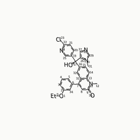 CCOc1cccc(-c2cc(=O)n(C)c3ccc(C(O)(c4ccc(Cl)nc4)c4cncn4C)cc23)c1